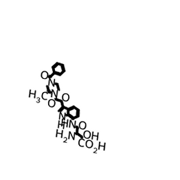 C[C@@H]1CN(C(=O)c2ccccc2)CCN1C(=O)C(=O)c1c[nH]c2c(NC(=O)C(N)C(O)C(=O)O)cccc12